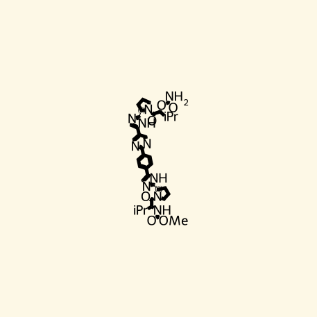 COC(=O)NC(C(=O)N1CCC[C@H]1c1ncc(-c2ccc(-c3ncc(-c4cnc([C@@H]5CCCN5C(=O)C(OC(N)=O)C(C)C)[nH]4)cn3)cc2)[nH]1)C(C)C